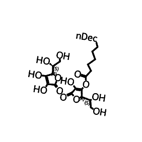 CCCCCCCCCCCCCCCC(=O)OC1=C(O)C(=O)O[C@@H]1[C@@H](O)CO.O=C1O[C@H]([C@@H](O)CO)C(O)=C1O